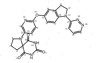 O=C1NC(=O)C2(CCCN2c2ccc(Oc3ccc4c(c3)CCN4c3cccnn3)nc2)C(=O)N1